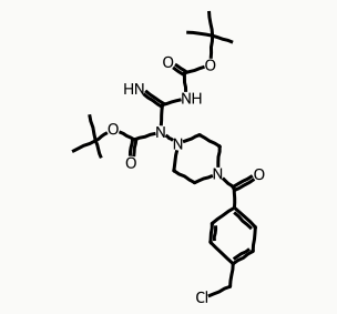 CC(C)(C)OC(=O)NC(=N)N(C(=O)OC(C)(C)C)N1CCN(C(=O)c2ccc(CCl)cc2)CC1